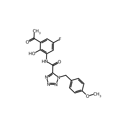 COc1ccc(Cn2nnnc2C(=O)Nc2cc(F)cc(C(C)=O)c2O)cc1